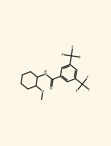 COC1CCCCC1NC(=O)c1cc(C(F)(F)F)cc(C(F)(F)F)c1